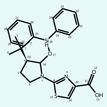 CC(C)(C)[C@@H]1CCN(c2nc(C(=O)O)cs2)C1O[SiH](c1ccccc1)c1ccccc1